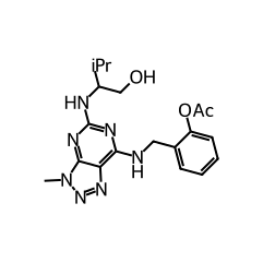 CC(=O)Oc1ccccc1CNc1nc(NC(CO)C(C)C)nc2c1nnn2C